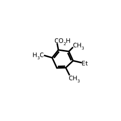 CCc1c(C)cc(C)c(C(=O)O)c1C